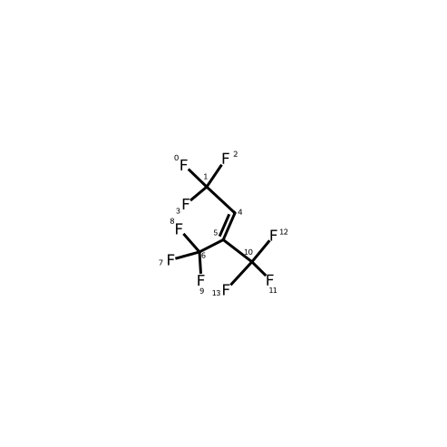 FC(F)(F)C=C(C(F)(F)F)C(F)(F)F